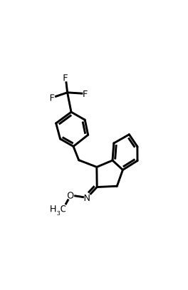 CO/N=C1/Cc2ccccc2C1Cc1ccc(C(F)(F)F)cc1